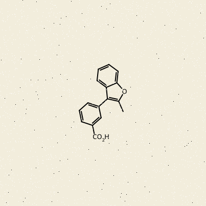 Cc1oc2ccccc2c1-c1cccc(C(=O)O)c1